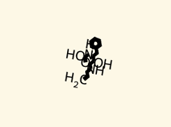 C=CCNCC(O)C(Cc1ccccc1)NC(=O)O